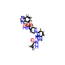 O=C(Nc1nc2cccc(N3CCC(NS(=O)(=O)c4cccc5nsnc45)CC3)n2n1)C1CC1